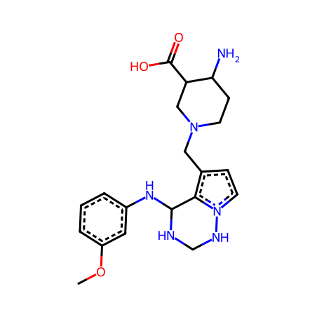 COc1cccc(NC2NCNn3ccc(CN4CCC(N)C(C(=O)O)C4)c32)c1